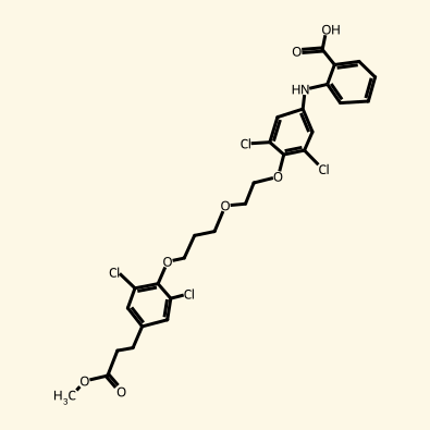 COC(=O)CCc1cc(Cl)c(OCCCOCCOc2c(Cl)cc(Nc3ccccc3C(=O)O)cc2Cl)c(Cl)c1